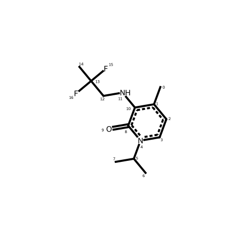 Cc1ccn(C(C)C)c(=O)c1NCC(C)(F)F